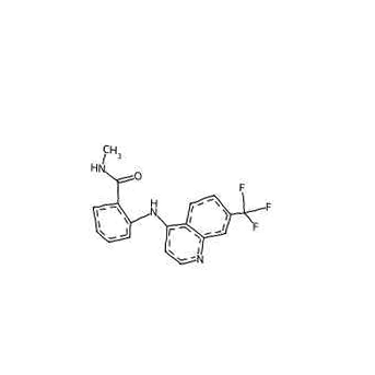 CNC(=O)c1ccccc1Nc1ccnc2cc(C(F)(F)F)ccc12